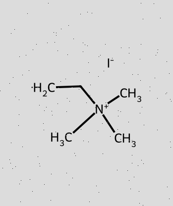 [CH2]C[N+](C)(C)C.[I-]